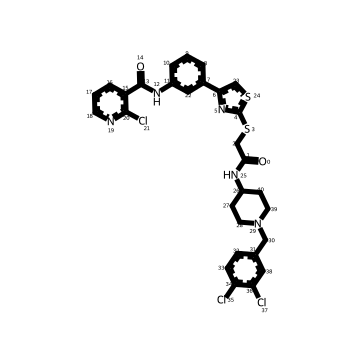 O=C(CSc1nc(-c2cccc(NC(=O)c3cccnc3Cl)c2)cs1)NC1CCN(Cc2ccc(Cl)c(Cl)c2)CC1